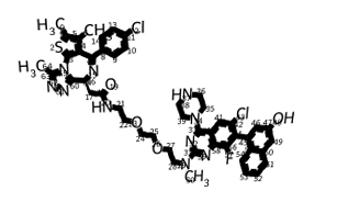 Cc1sc2c(c1C)C(c1ccc(Cl)cc1)=N[C@@H](CC(=O)NCCOCCOCCN(C)c1nc(N3CCNCC3)c3cc(Cl)c(-c4cc(O)cc5ccccc45)c(F)c3n1)c1nnc(C)n1-2